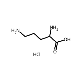 Cl.NCCCC(N)C(=O)O